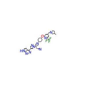 CC1CCN(Cc2cc(O[C@H]3CC[C@@H](N4CC(CC#N)(n5cc(-c6ncnc7[nH]ccc67)cn5)C4)CC3)nc(C(F)(F)F)c2)C1